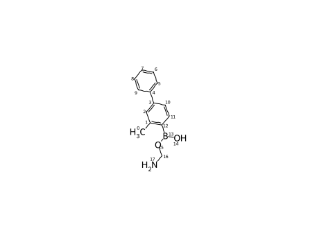 Cc1cc(-c2ccccc2)ccc1B(O)OCN